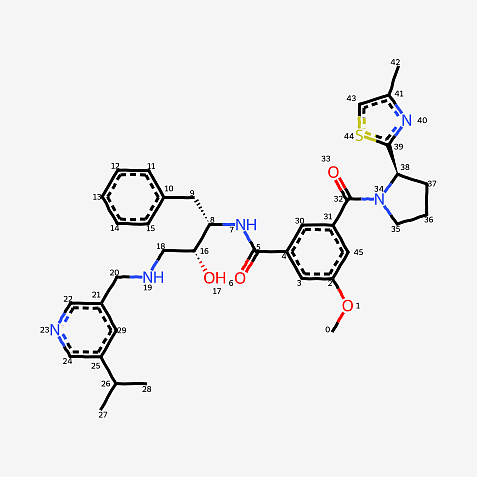 COc1cc(C(=O)N[C@@H](Cc2ccccc2)[C@H](O)CNCc2cncc(C(C)C)c2)cc(C(=O)N2CCC[C@@H]2c2nc(C)cs2)c1